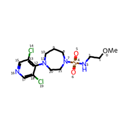 COCCNS(=O)(=O)N1CCCN(c2c(Cl)cncc2Cl)CC1